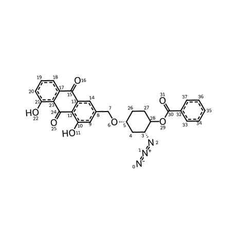 [N-]=[N+]=N[C@@H]1C[C@H](OCc2cc(O)c3c(c2)C(=O)c2cccc(O)c2C3=O)CCC1OC(=O)c1ccccc1